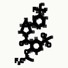 C[C@@H](Oc1ccc(S(C)(=O)=O)cc1C(=O)N1CC2CC2(c2nccc(C(C)(F)F)n2)C1)C(F)(F)F